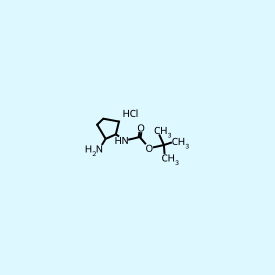 CC(C)(C)OC(=O)NC1CCCC1N.Cl